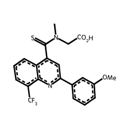 COc1cccc(-c2cc(C(=S)N(C)CC(=O)O)c3cccc(C(F)(F)F)c3n2)c1